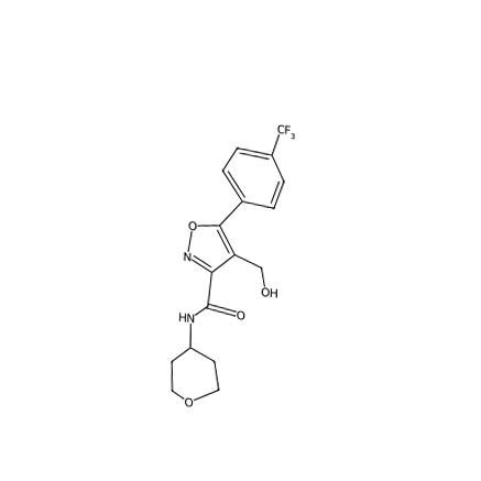 O=C(NC1CCOCC1)c1noc(-c2ccc(C(F)(F)F)cc2)c1CO